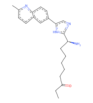 CCC(=O)CCCCC[C@H](N)c1ncc(-c2ccc3nc(C)ccc3c2)[nH]1